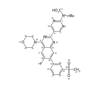 CC(C)(C)N(C(=O)O)c1ncc(-c2nc(N3CCOCC3)c3cc(F)c(-c4cccc(S(C)(=O)=O)c4)cc3n2)cn1